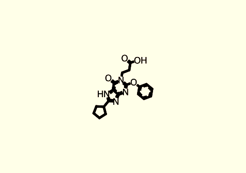 O=C(O)CCn1c(Oc2ccccc2)nc2nc(C3CCCC3)[nH]c2c1=O